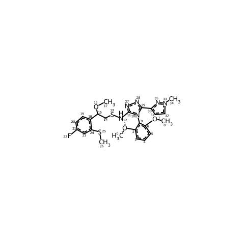 COc1cccc(OC)c1-n1c(NSCC(OC)c2ccc(F)cc2SC)nnc1-c1ccn(C)n1